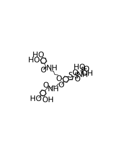 O=C(NCCCCOc1cc2sc(S(=O)(=O)NCP(=O)(O)O)cc2cc1OCCCNC(=O)c1ccc(O)c(O)c1)c1ccc(O)c(O)c1